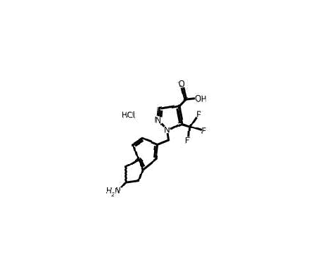 Cl.NC1Cc2ccc(Cn3ncc(C(=O)O)c3C(F)(F)F)cc2C1